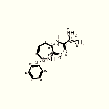 C[C@H](N)C(=O)N[C@H]1CC=C[C@@H](c2ccccc2)NC1=O